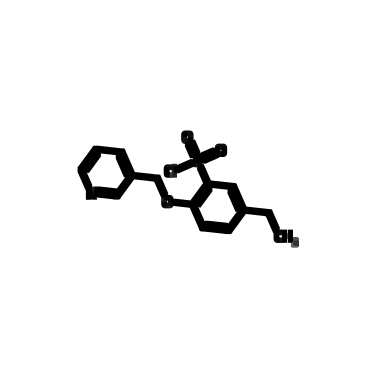 CCc1ccc(OCc2cccnc2)c(S(=O)(=O)Cl)c1